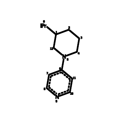 CC(C)C1CCCN(c2ccncc2)C1